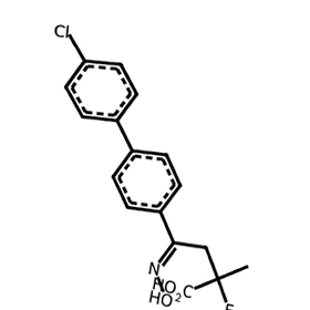 CC(F)(C/C(=N\O)c1ccc(-c2ccc(Cl)cc2)cc1)C(=O)O